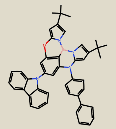 CC(C)(C)c1cc2n(c1)B1c3c(cc(-n4c5ccccc5c5ccccc54)cc3N(c3ccc(-c4ccccc4)cc3)c3cc(C(C)(C)C)cn31)O2